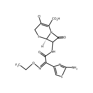 Nc1nc(/C(=N/OCC(F)(F)F)C(=O)NC2C(=O)N3C(C(=O)O)=C(Cl)CS[C@H]23)cs1